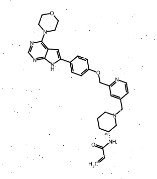 C=CC(=O)N[C@@H]1CCCN(Cc2ccnc(COc3ccc(-c4cc5c(N6CCOCC6)ncnc5[nH]4)cc3)c2)C1